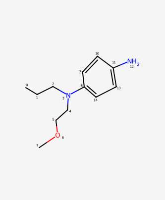 CCCN(CCOC)c1ccc(N)cc1